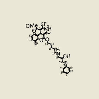 COC(=O)C1=C(C(F)(F)F)NC(C)=C(C(=O)OCCCCCNCC(O)COc2ccccc2)C1c1cccc(F)c1